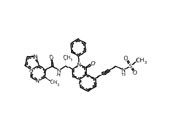 Cc1ncn2ccnc2c1C(=O)N[C@H](C)c1cc2cccc(C#CCNS(C)(=O)=O)c2c(=O)n1-c1ccccc1